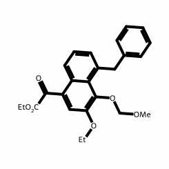 CCOC(=O)C(=O)c1cc(OCC)c(OCOC)c2c(Cc3ccccc3)cccc12